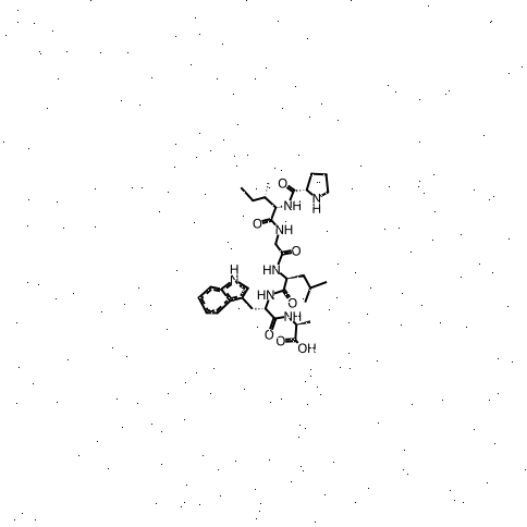 CC[C@H](C)[C@H](NC(=O)[C@@H]1CCCN1)C(=O)NCC(=O)N[C@@H](CC(C)C)C(=O)N[C@@H](Cc1c[nH]c2ccccc12)C(=O)N[C@@H](C)C(=O)O